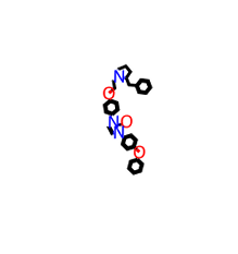 O=c1n(-c2ccc(OCCN3CCCC3Cc3ccccc3)cc2)ccn1-c1ccc(Oc2ccccc2)cc1